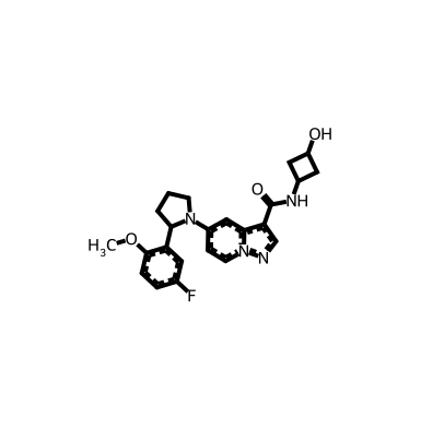 COc1ccc(F)cc1C1CCCN1c1ccn2ncc(C(=O)NC3CC(O)C3)c2c1